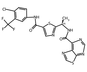 C[C@@H](NC(=O)c1ncnc2scnc12)c1ncc(C(=O)Nc2ccc(Cl)c(C(F)(F)F)c2)s1